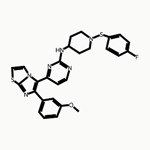 COc1cccc(-c2nc3sccn3c2-c2ccnc(NC3CCN(Sc4ccc(F)cc4)CC3)n2)c1